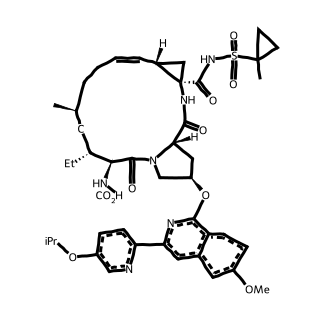 CC[C@@H]1C[C@@H](C)CC/C=C\[C@@H]2C[C@@]2(C(=O)NS(=O)(=O)C2(C)CC2)NC(=O)[C@@H]2C[C@@H](Oc3nc(-c4ccc(OC(C)C)cn4)cc4cc(OC)ccc34)CN2C(=O)[C@H]1NC(=O)O